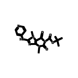 Cn1c(Nc2ccncc2)nc2c1c(=O)n(C(=O)OC(C)(C)C)c(=O)n2C